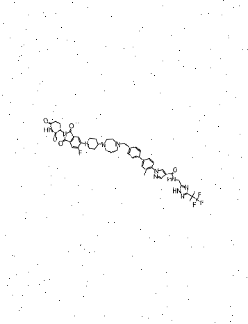 Cc1cc(-c2ccc(CN3CCCN(C4CCN(c5cc6c(cc5F)C(=O)N(C5CCC(=O)NC5=O)C6=O)CC4)CC3)cc2)ccc1-n1cc(C(=O)NCc2nc(C(C)(C)C(F)(F)F)n[nH]2)cn1